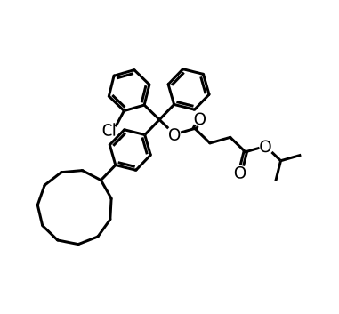 CC(C)OC(=O)CCC(=O)OC(c1ccccc1)(c1ccc(C2CCCCCCCCCC2)cc1)c1ccccc1Cl